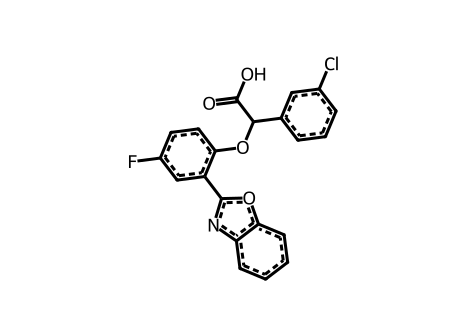 O=C(O)C(Oc1ccc(F)cc1-c1nc2ccccc2o1)c1cccc(Cl)c1